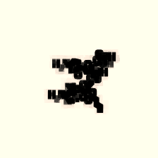 C=CCCC(=O)O[C@@H]1C(COP(=O)(O)[C@H]2C[C@H](n3ccc(N)nc3=O)O[C@@H]2COP(=O)(O)O)O[C@@H](n2cnc3c(N)ncnc32)[C@@H]1O